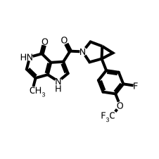 Cc1c[nH]c(=O)c2c(C(=O)N3CC4CC4(c4ccc(OC(F)(F)F)c(F)c4)C3)c[nH]c12